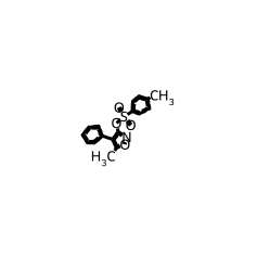 Cc1ccc(S(=O)(=O)Oc2noc(C)c2-c2ccccc2)cc1